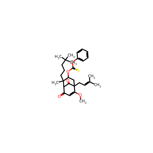 COC1=CC(=O)C2C(=O)C1(CC=C(C)C)CC(OC(=S)Oc1ccccc1)C2(C)CCCC(C)(C)C